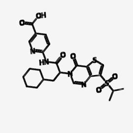 CC(C)S(=O)(=O)c1csc2c(=O)n(C(CC3CCCCC3)C(=O)Nc3ccc(C(=O)O)cn3)cnc12